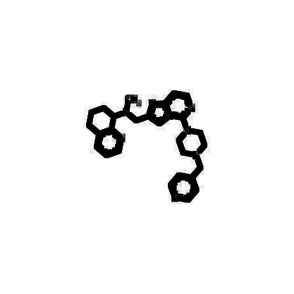 CN(Cc1cn2c(N3CCN(Cc4ccncc4)CC3)nccc2n1)C1CCCc2cccnc21